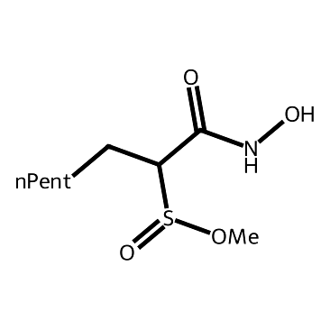 CCCCCCC(C(=O)NO)S(=O)OC